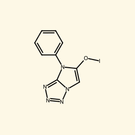 IOc1cn2nnnc2n1-c1ccccc1